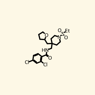 CCS(=O)(=O)N1CCC(CNC(=O)c2ccc(Cl)cc2Cl)(CC2CCCO2)CC1